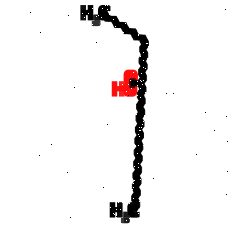 CCCCCCCC/C=C\CCCCCCC(CCCCCCCCCCCCCCCCCCCCCC)C(=O)O